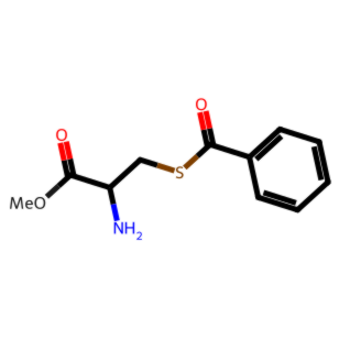 COC(=O)C(N)CSC(=O)c1ccccc1